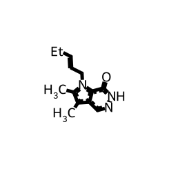 CCC=CCn1c(C)c(C)c2cn[nH]c(=O)c21